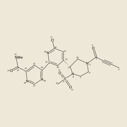 CC#CC(=O)N1CCN(S(C)(=O)=O)[C@H](c2cc(Cl)nc(-c3cc(C(=O)NC)ncn3)c2)C1